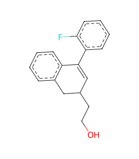 OCCC1C=C(c2ccccc2F)c2ccccc2C1